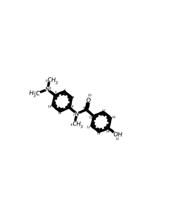 CN(C)c1ccc(N(C)C(=O)c2ccc(O)cc2)cc1